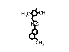 CCC1CCCc2cc(-c3nc(Cc4cc(C)c(I)cc4C)cs3)ccc21